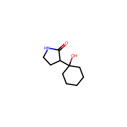 O=C1NCCC1C1(O)CCCCC1